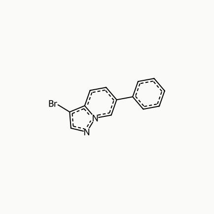 Brc1cnn2cc(-c3ccccc3)ccc12